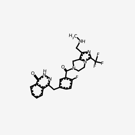 CNCc1nc(C(F)(F)F)n2c1CN(C(=O)c1cc(Cc3n[nH]c(=O)c4ccccc34)ccc1F)CC2